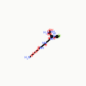 NCCOCCOCCOCCOCC(=O)NCCCCCC(=O)NCCCCCC(=O)Nc1cc(CO[C@H](C(N)=O)[C@H](N)C(=O)O)cc(NC(=O)c2ccc(C(F)(F)F)cc2)c1